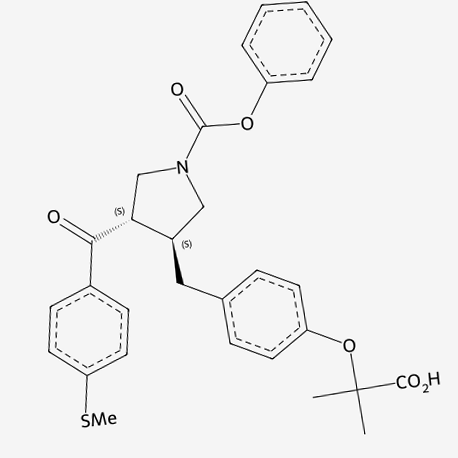 CSc1ccc(C(=O)[C@@H]2CN(C(=O)Oc3ccccc3)C[C@H]2Cc2ccc(OC(C)(C)C(=O)O)cc2)cc1